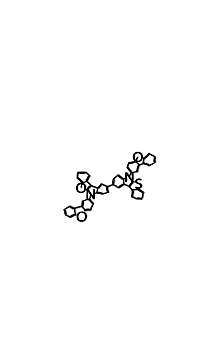 c1ccc2c(c1)oc1ccc(-n3c4ccc(-c5ccc6c(c5)c5c7ccccc7sc5n6-c5ccc6oc7ccccc7c6c5)cc4c4c5ccccc5oc43)cc12